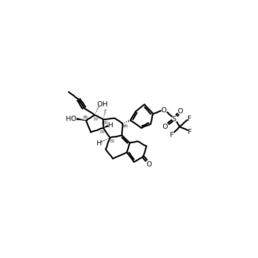 CC#C[C@]1(O)[C@H](O)C[C@H]2[C@@H]3CCC4=CC(=O)CCC4=C3[C@@H](c3ccc(OS(=O)(=O)C(F)(F)F)cc3)C[C@@]21C